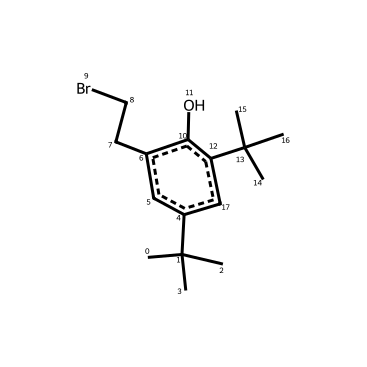 CC(C)(C)c1cc(CCBr)c(O)c(C(C)(C)C)c1